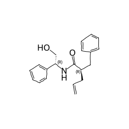 C=CC[C@H](Cc1ccccc1)C(=O)N[C@@H](CO)c1ccccc1